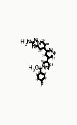 CC(c1ccc(F)cc1)n1cc(-c2cnnc(-c3ccn4nc(N)nc4c3)c2)cn1